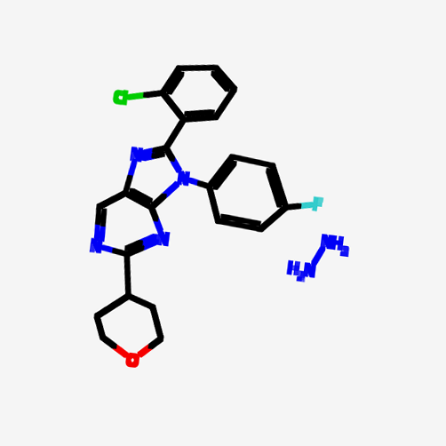 Fc1ccc(-n2c(-c3ccccc3Cl)nc3cnc(C4CCOCC4)nc32)cc1.NN